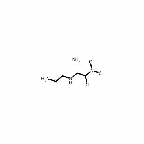 N.NCCNCC(Cl)N(Cl)Cl